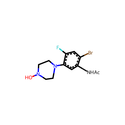 CC(=O)Nc1cc(N2CCN(O)CC2)c(F)cc1Br